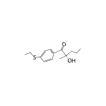 CCCC(C)(O)C(=O)c1ccc(SCC)cc1